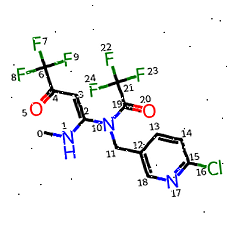 CNC(=CC(=O)C(F)(F)F)N(Cc1ccc(Cl)nc1)C(=O)C(F)(F)F